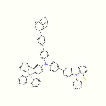 c1ccc(C2(c3ccccc3)c3ccccc3-c3cc(N(c4ccc(-c5ccc(N6c7ccccc7Sc7ccccc76)cc5)cc4)c4ccc(-c5ccc(C67CC8CC9CC(C6)C9(C8)C7)cc5)cc4)ccc32)cc1